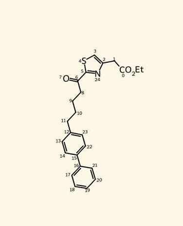 CCOC(=O)Cc1csc(C(=O)CCCCc2ccc(-c3ccccc3)cc2)n1